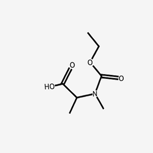 CCOC(=O)N(C)C(C)C(=O)O